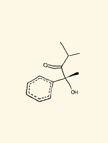 CC(C)C(=O)[C@](C)(O)c1ccccc1